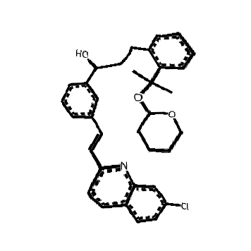 CC(C)(OC1CCCCO1)c1ccccc1CCC(O)c1cccc(C=Cc2ccc3ccc(Cl)cc3n2)c1